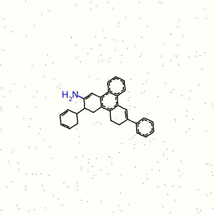 NC1=Cc2c(c3c(c4ccccc24)C=C(c2ccccc2)CC3)CC1C1C=CC=CC1